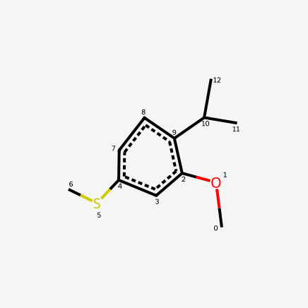 COc1cc(SC)ccc1C(C)C